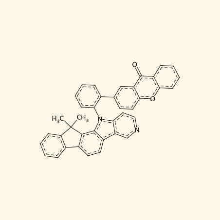 CC1(C)c2ccccc2-c2ccc3c4cnccc4n(-c4ccccc4-c4ccc5oc6ccccc6c(=O)c5c4)c3c21